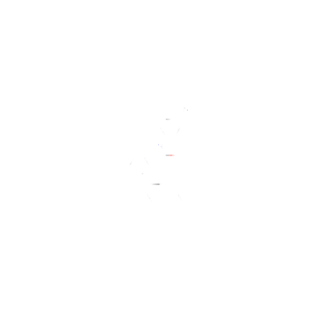 N#Cc1ccc(NC(=O)C(OC2=CC=CC3C=CC=CC23)c2ccccc2)cc1